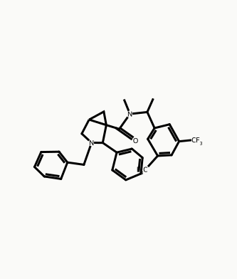 CC(c1cc(C(F)(F)F)cc(C(F)(F)F)c1)N(C)C(=O)C12CC1CN(Cc1ccccc1)C2c1ccccc1